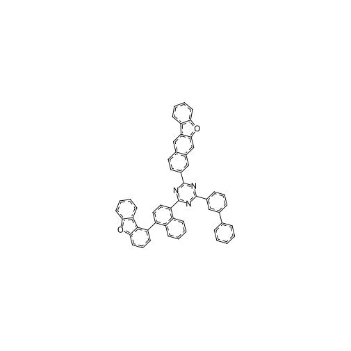 c1ccc(-c2cccc(-c3nc(-c4ccc5cc6c(cc5c4)oc4ccccc46)nc(-c4ccc(-c5cccc6oc7ccccc7c56)c5ccccc45)n3)c2)cc1